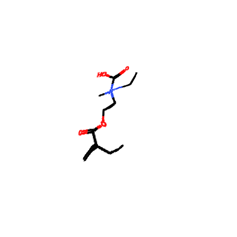 C=C(CC)C(=O)OCC[N+](C)(CC)C(=O)O